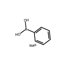 OB(O)c1ccccc1.[NaH]